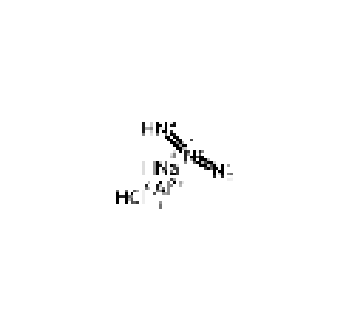 Cl.[Al+3].[N-]=[N+]=N.[NaH]